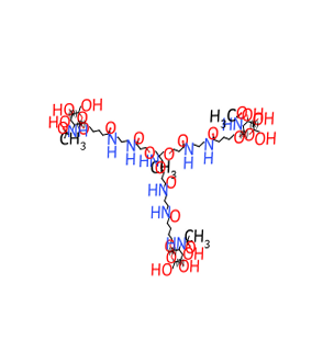 CNC(COCCC(=O)NCCCNC(=O)CCCCO[C@@H]1OC(CO)[C@H](O)C(O)C1NC(C)=O)(COCCC(=O)NCCCNC(=O)CCCCO[C@@H]1OC(CO)[C@H](O)C(O)C1NC(C)=O)COCCC(=O)NCCCNC(=O)CCCCO[C@@H]1OC(CO)[C@H](O)C(O)C1NC(C)=O